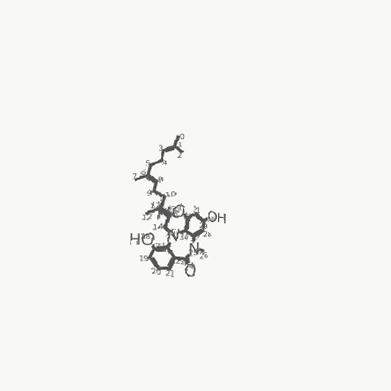 CC(C)=CCC/C(C)=C/CC/C(C)=C/CN1c2c(O)cccc2C(=O)N(C)c2cc(O)cc(O)c21